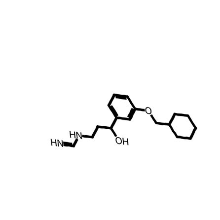 N=CNCCC(O)c1cccc(OCC2CCCCC2)c1